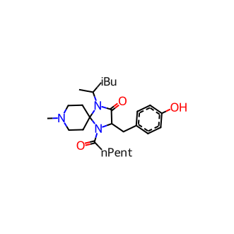 CCCCCC(=O)N1C(Cc2ccc(O)cc2)C(=O)N(C(C)C(C)CC)C12CCN(C)CC2